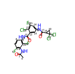 CC(=O)Nc1c(F)ccc(NC(=O)c2cc(NC(=O)C3CC3(Cl)Cl)cc(F)c2Cl)c1F